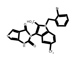 O=C(O)c1c(-n2c(=O)[nH]c3cscc3c2=O)c2cc(C(F)(F)F)ccc2n1Cc1ccccc1Br